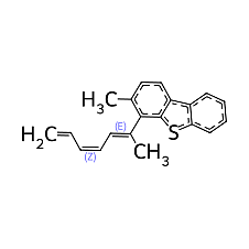 C=C/C=C\C=C(/C)c1c(C)ccc2c1sc1ccccc12